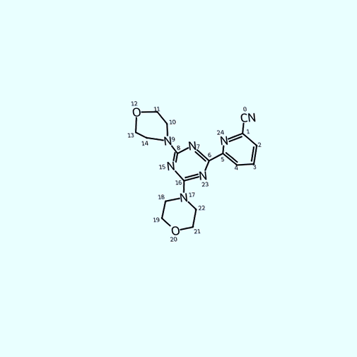 N#Cc1cccc(-c2nc(N3CCOCC3)nc(N3CCOCC3)n2)n1